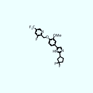 COc1cc(-c2cnc(C3CCC(F)(F)C3)[nH]2)ccc1OCc1ncc(C(F)(F)F)cc1F